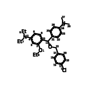 CCOc1cc(N(CC)CC)ccc1C(OCc1ccc(Cl)cc1)c1ccc(N(C)C)cc1